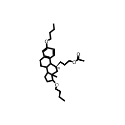 CCCCOc1ccc2c(c1)CCC1C2[C@@H](CCCOC(C)=O)CC2(C)C(OCCCC)CCC12